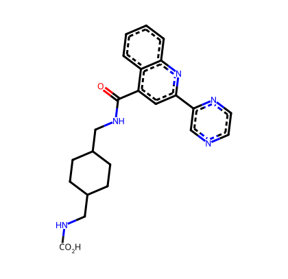 O=C(O)NCC1CCC(CNC(=O)c2cc(-c3cnccn3)nc3ccccc23)CC1